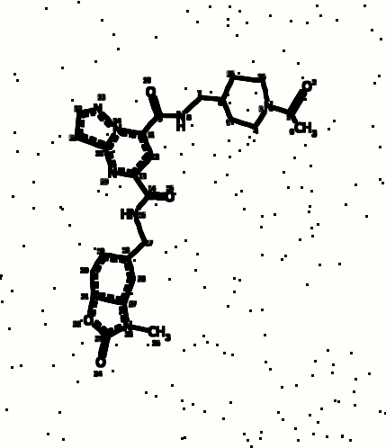 CC(=O)N1CCC(CNC(=O)c2cc(C(=O)NCc3ccc4oc(=O)n(C)c4c3)nc3ccnn23)CC1